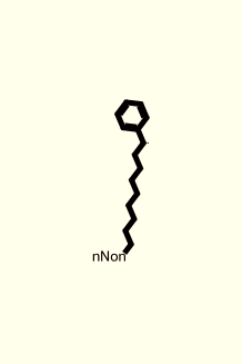 CCCCCCCCCCCCCCCCC[CH]c1ccccc1